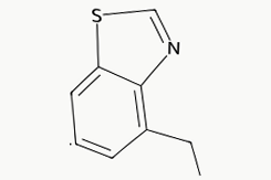 CCc1c[c]cc2scnc12